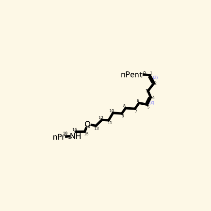 CCCCC/C=C\C/C=C\CCCCCCCCOCCNCCC